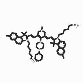 Cc1ccc2c3c(ccc2c1)[N+](CCCCCC(=O)O)=C(/C=C/C1=C(N2CCN(C4CCCCC4)CC2)C(=C/C=C2/N(CCCCCC(=O)O)c4ccc5cc(C)ccc5c4C2(C)C)/CN(C)C1)C3(C)C